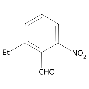 CCc1cccc([N+](=O)[O-])c1C=O